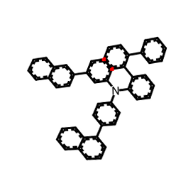 c1ccc(-c2ccccc2-c2ccccc2N(c2ccc(-c3cccc4ccccc34)cc2)c2cccc(-c3ccc4ccccc4c3)c2)cc1